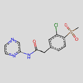 CS(=O)(=O)c1ccc(CC(=O)Nc2cnccn2)cc1Cl